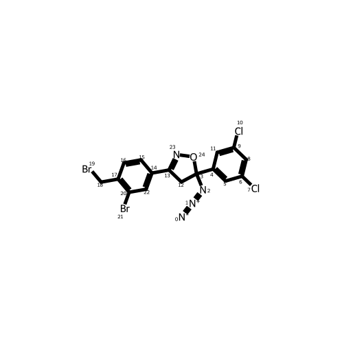 [N-]=[N+]=NC1(c2cc(Cl)cc(Cl)c2)CC(c2ccc(CBr)c(Br)c2)=NO1